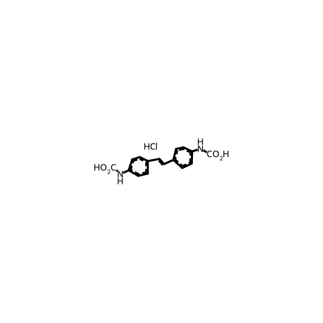 Cl.O=C(O)Nc1ccc(C=Cc2ccc(NC(=O)O)cc2)cc1